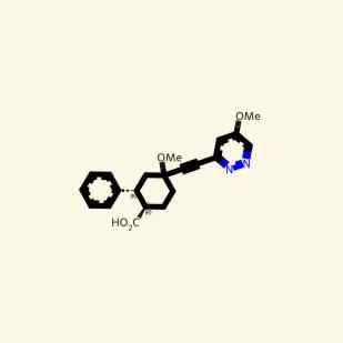 COc1cnnc(C#CC2(OC)CC[C@@H](C(=O)O)[C@H](c3ccccc3)C2)c1